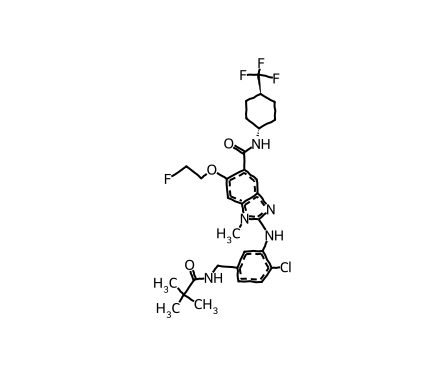 Cn1c(Nc2cc(CNC(=O)C(C)(C)C)ccc2Cl)nc2cc(C(=O)N[C@H]3CC[C@H](C(F)(F)F)CC3)c(OCCF)cc21